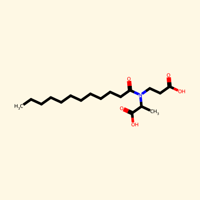 CCCCCCCCCCCC(=O)N(CCC(=O)O)C(C)C(=O)O